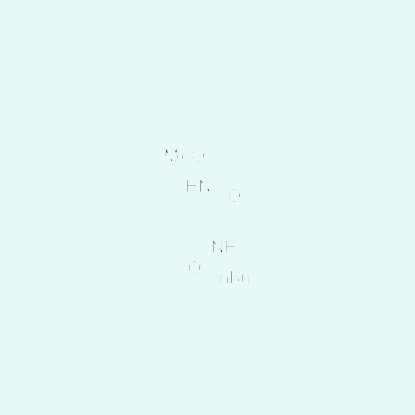 CCCCC(=O)Nc1cccc(NC(=O)c2ccccc2OC)c1